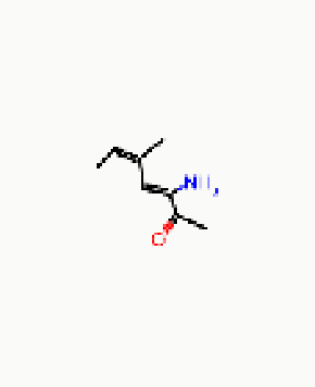 C/C=C(C)\C=C(/N)C(C)=O